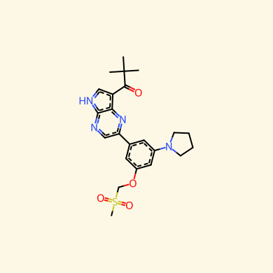 CC(C)(C)C(=O)c1c[nH]c2ncc(-c3cc(OCS(C)(=O)=O)cc(N4CCCC4)c3)nc12